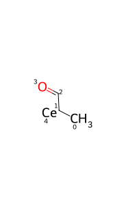 CCC=O.[Ce]